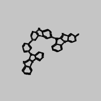 Cc1ccc2c(c1)nc1n(-c3ccc4oc5ccc(-c6cccc(-n7c8ccccc8n8c9ccccc9nc78)c6)cc5c4c3)c3ccccc3n21